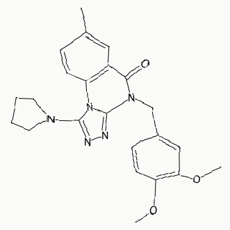 COc1ccc(Cn2c(=O)c3cc(C)ccc3n3c(N4CCCC4)nnc23)cc1OC